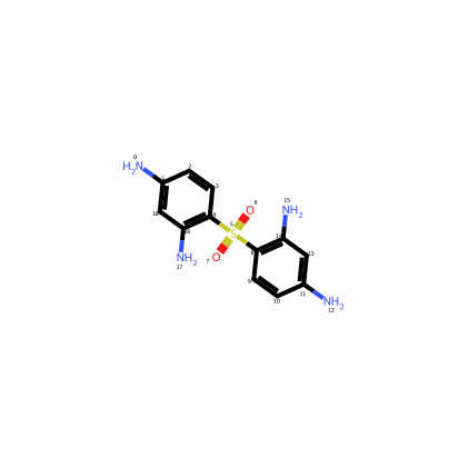 Nc1ccc(S(=O)(=O)c2ccc(N)cc2N)c(N)c1